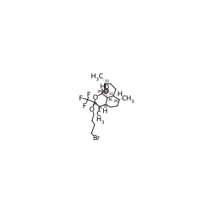 C[C@@H]1CC[C@H]2[C@@H](C)[C@](OCCCCBr)(C(F)(F)F)O[C@@H]3O[C@]4(C)CC[C@@H]1[C@]32OO4